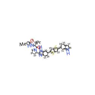 COC(=O)N[C@H](C(=O)N1CCC[C@H]1c1nc2ccc(-c3cc4sc(-c5ccc6cc[nH]c6c5)cc4s3)cc2[nH]1)C(C)C